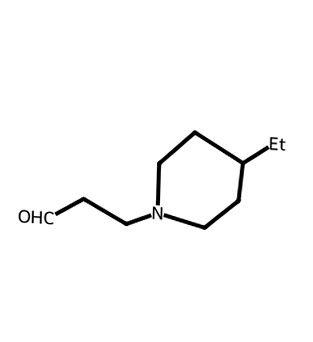 CCC1CCN(CCC=O)CC1